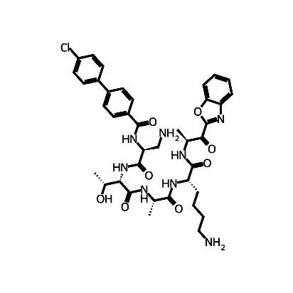 C[C@H](NC(=O)[C@@H](NC(=O)[C@H](CN)NC(=O)c1ccc(-c2ccc(Cl)cc2)cc1)[C@@H](C)O)C(=O)N[C@@H](CCCCN)C(=O)N[C@@H](C)C(=O)c1nc2ccccc2o1